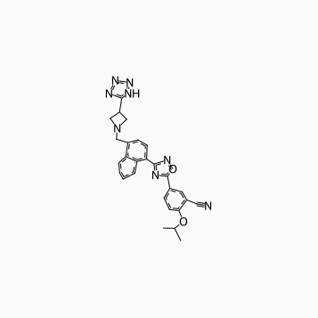 CC(C)Oc1ccc(-c2nc(-c3ccc(CN4CC(c5nnn[nH]5)C4)c4ccccc34)no2)cc1C#N